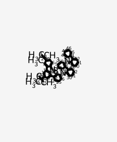 CC(C)(C)c1ccc2c(c1)c1cc(C(C)(C)C)cc3c1n2B1c2c-3cccc2-n2c3ccccc3c3c(-n4c5ccccc5c5ccccc54)ccc1c32